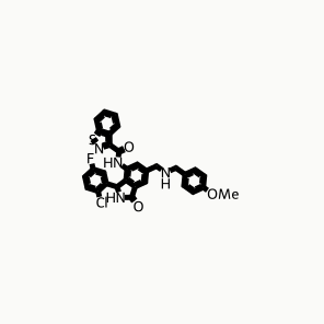 COc1ccc(CNCc2cc(NC(=O)c3nsc4ccccc34)c3c(c2)C(=O)NC3c2cc(F)ccc2Cl)cc1